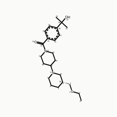 CCOC[C@@H]1CCCN(C2CCN(C(=O)c3ccc(C(C)(C)O)cc3)CC2)C1